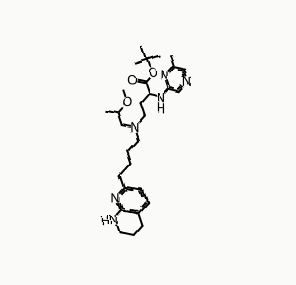 COC(C)CN(CCCCc1ccc2c(n1)NCCC2)CCC(Nc1cncc(C)n1)C(=O)OC(C)(C)C